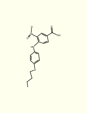 CCCCOc1ccc(Nc2ccc(C(=O)O)cc2[N+](=O)[O-])cc1